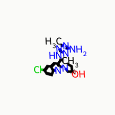 Cc1nc(N)nc(N[C@@H](C)c2cc3cc(Cl)ccc3nc2N2CC[C@@H](O)C2)n1